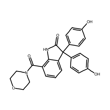 O=C(c1cccc2c1NC(=O)C2(c1ccc(O)cc1)c1ccc(O)cc1)N1CCOCC1